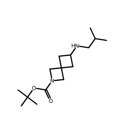 CC(C)CNC1CC2(C1)CN(C(=O)OC(C)(C)C)C2